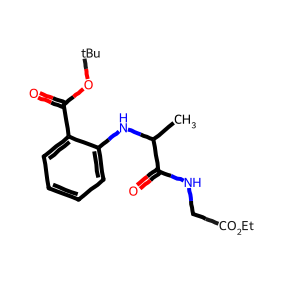 CCOC(=O)CNC(=O)C(C)Nc1ccccc1C(=O)OC(C)(C)C